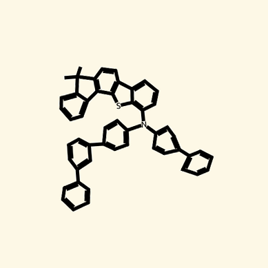 CC1(C)c2ccccc2-c2c1ccc1c2sc2c(N(c3ccc(-c4ccccc4)cc3)c3ccc(-c4cccc(-c5ccccc5)c4)cc3)cccc21